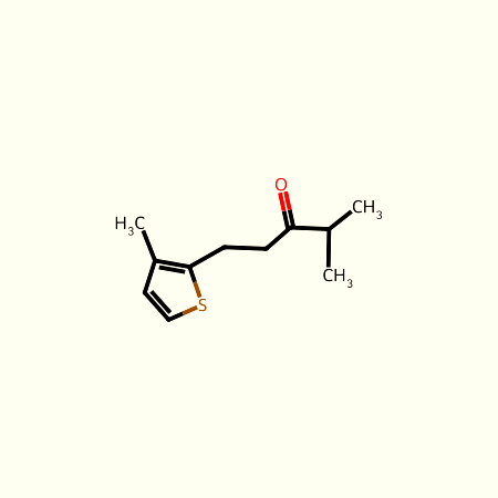 Cc1ccsc1CCC(=O)C(C)C